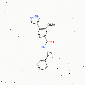 COc1cc(C(=O)N[C@@H]2C[C@H]2c2ccccc2)ccc1-c1cn[nH]c1